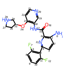 Nc1ccc(-c2c(F)cccc2F)nc1C(=O)Nc1cnccc1O[C@H]1CCNC1